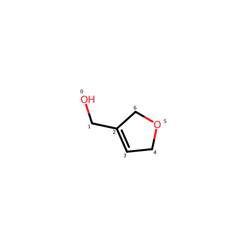 OCC1=CCOC1